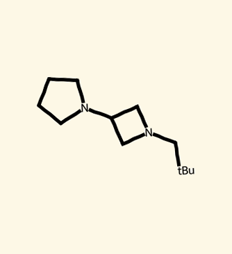 CC(C)(C)CN1CC(N2CCCC2)C1